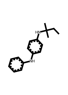 CCC(C)(C)Nc1ccc(Nc2ccccc2)cc1